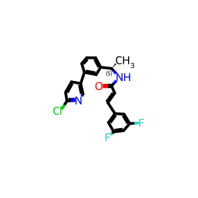 C[C@H](NC(=O)C=Cc1cc(F)cc(F)c1)c1cccc(-c2ccc(Cl)nc2)c1